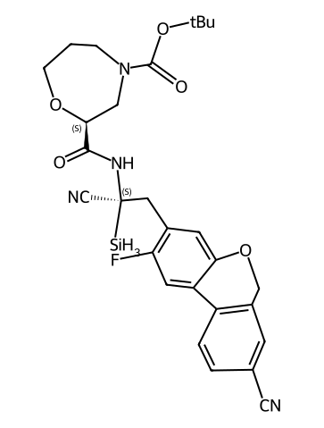 CC(C)(C)OC(=O)N1CCCO[C@H](C(=O)N[C@@]([SiH3])(C#N)Cc2cc3c(cc2F)-c2ccc(C#N)cc2CO3)C1